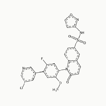 COc1cc(-c2cncc(Cl)c2)c(F)cc1-n1c(=O)ccc2cc(S(=O)(=O)Nc3ccon3)ccc21